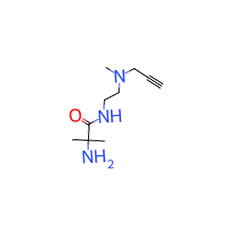 C#CCN(C)CCNC(=O)C(C)(C)N